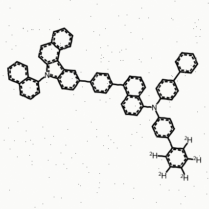 [2H]c1c([2H])c([2H])c(-c2ccc(N(c3ccc(-c4ccccc4)cc3)c3cccc4c(-c5ccc(-c6ccc7c(c6)c6c8ccccc8ccc6n7-c6cccc7ccccc67)cc5)cccc34)cc2)c([2H])c1[2H]